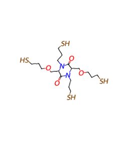 O=C1C(COCCCS)N(CCCS)C(=O)C(COCCCS)N1CCCS